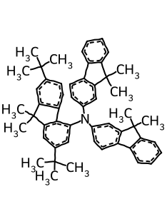 CC(C)(C)c1ccc2c(c1)C(C)(C)c1cc(C(C)(C)C)cc(N(c3ccc4c(c3)C(C)(C)c3ccccc3-4)c3ccc4c(c3)C(C)(C)c3ccccc3-4)c1-2